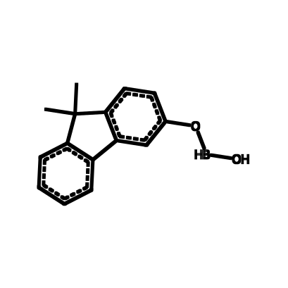 CC1(C)c2ccccc2-c2cc(OBO)ccc21